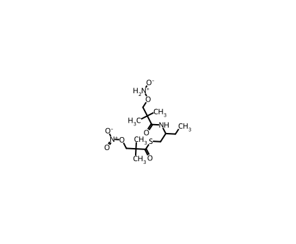 CCC(CSC(=O)C(C)(C)CO[N+](=O)[O-])NC(=O)C(C)(C)CO[NH2+][O-]